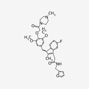 COc1cc(/C=C2/C(C)=C(CC(=O)NCc3ccco3)c3cc(F)ccc32)cc(OC)c1OCC(=O)N1CCN(C)CC1